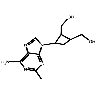 Cc1nc(N)c2ncn(C3CC(CO)C3CO)c2n1